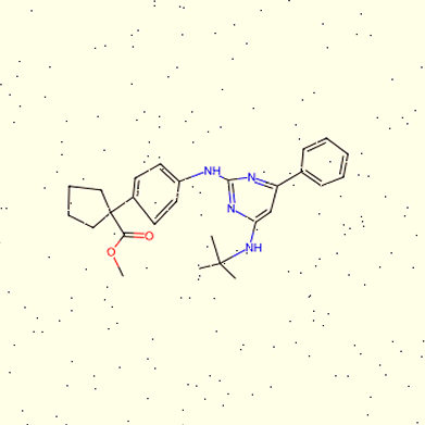 COC(=O)C1(c2ccc(Nc3nc(NC(C)(C)C)cc(-c4ccccc4)n3)cc2)CCCC1